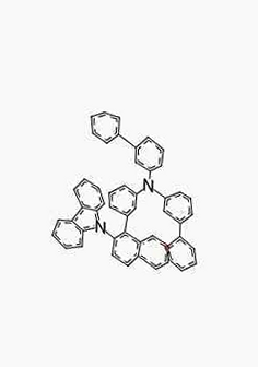 c1ccc(-c2cccc(N(c3cccc(-c4ccccc4)c3)c3cccc(-c4c(-n5c6ccccc6c6ccccc65)ccc5ccccc45)c3)c2)cc1